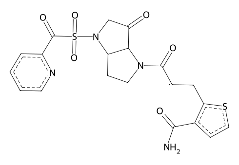 NC(=O)c1ccsc1C[CH]C(=O)N1CCC2C1C(=O)CN2S(=O)(=O)C(=O)c1ccccn1